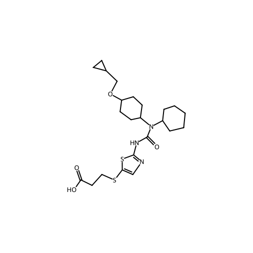 O=C(O)CCSc1cnc(NC(=O)N(C2CCCCC2)C2CCC(OCC3CC3)CC2)s1